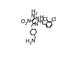 NC[C@H]1CC[C@H](Cc2nc(NCc3cccc(Cl)c3Cl)nc(N)c2[N+](=O)[O-])CC1